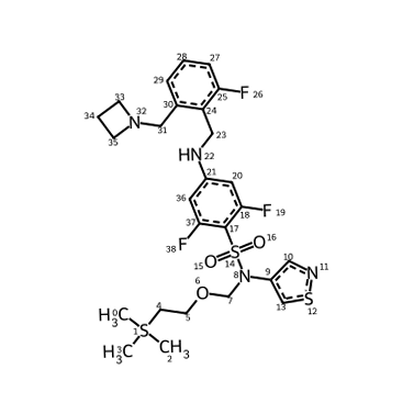 CS(C)(C)CCOCN(c1cnsc1)S(=O)(=O)c1c(F)cc(NCc2c(F)cccc2CN2CCC2)cc1F